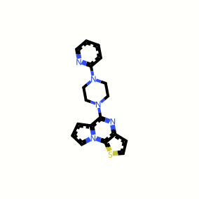 c1ccc(N2CCN(c3nc4ccsc4n4cccc34)CC2)nc1